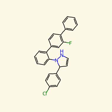 Fc1cc(-c2ccccc2N2NC=CC2c2ccc(Cl)cc2)ccc1-c1ccccc1